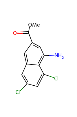 COC(=O)c1cc(N)c2c(Cl)cc(Cl)cc2c1